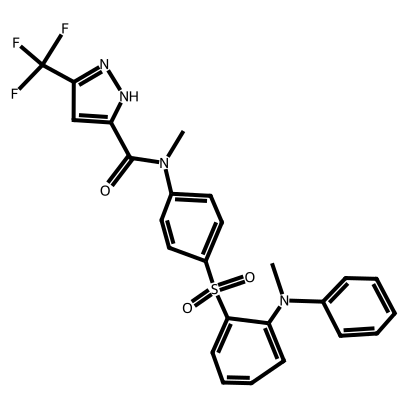 CN(C(=O)c1cc(C(F)(F)F)n[nH]1)c1ccc(S(=O)(=O)c2ccccc2N(C)c2ccccc2)cc1